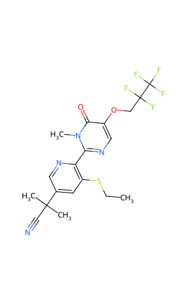 CCSc1cc(C(C)(C)C#N)cnc1-c1ncc(OCC(F)(F)C(F)(F)F)c(=O)n1C